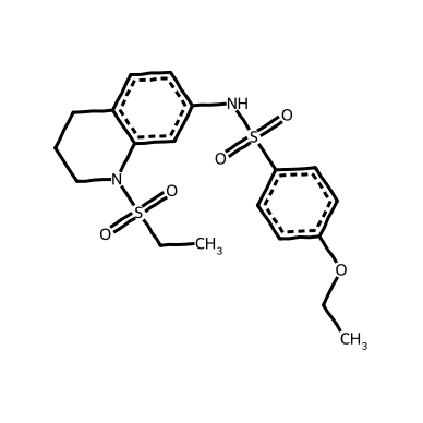 CCOc1ccc(S(=O)(=O)Nc2ccc3c(c2)N(S(=O)(=O)CC)CCC3)cc1